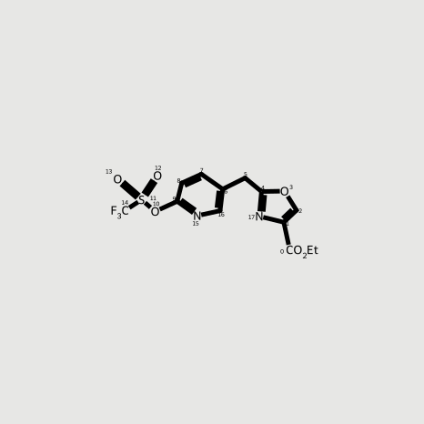 CCOC(=O)c1coc(Cc2ccc(OS(=O)(=O)C(F)(F)F)nc2)n1